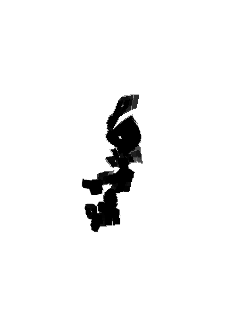 CC(=O)NC(C)(C)/C=C/n1ncc(C(=O)N[C@H]2C3CC4CC2C[C@](CO)(C4)C3)c1SC(C)C